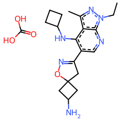 CCn1nc(C)c2c(NC3CCC3)c(C3=NOC4(C3)CC(N)C4)cnc21.O=C(O)O